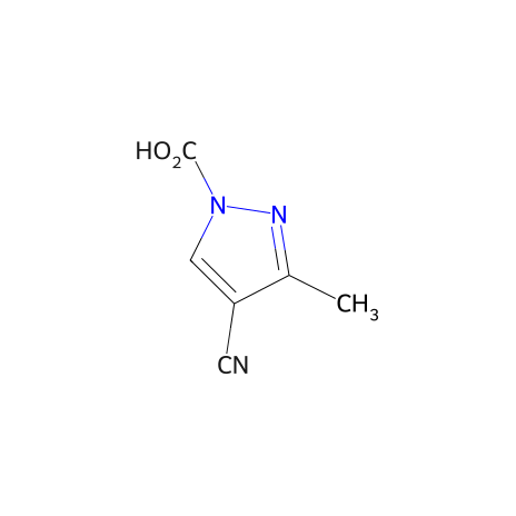 Cc1nn(C(=O)O)cc1C#N